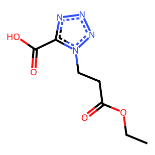 CCOC(=O)CCn1nnnc1C(=O)O